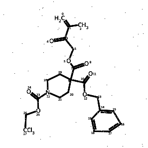 C=C(C)C(=O)COC(=O)C1(C(=O)OCc2ccccc2)CCN(C(=O)OCC(Cl)(Cl)Cl)CC1